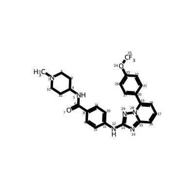 CN1CCC(NC(=O)c2ccc(Nc3nc4cccc(-c5ccc(OC(F)(F)F)cc5)n4n3)cc2)CC1